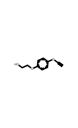 C#COc1ccc(OCCO)cc1